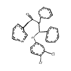 O=C(c1cccnc1)C(c1ccccc1)C(Nc1ccc(Cl)c(Cl)c1)c1ccccc1